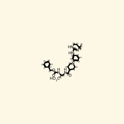 O=C(N[C@@H](CNC(=O)C1CCN(c2cccc(NC3=NC(F)(F)CCN3)c2)CC1)C(=O)O)OCc1ccccc1